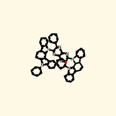 C1=CC2c3ccccc3N(c3cnc4nc(-n5c6ccccc6c6ccc7c(c8ccccc8n7-c7ccccc7)c65)c(-c5ccccc5)nc4n3)C2c2c1c1ccccc1n2-c1ccccc1